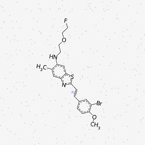 COc1ccc(/C=C/c2nc3cc(C)c(NCCOCCF)cc3s2)cc1Br